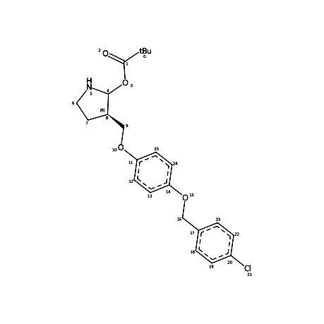 CC(C)(C)C(=O)OC1NCC[C@@H]1COc1ccc(OCc2ccc(Cl)cc2)cc1